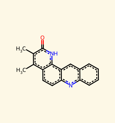 Cc1c(C)c2ccc3nc4ccccc4cc3c2[nH]c1=O